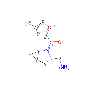 NCC1CC2CC2N1C(=O)c1cc(Cl)co1